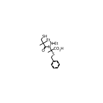 CCN(CC)N(C(=O)C(C)(C)CS)C(C)(SCc1ccccc1)C(=O)O